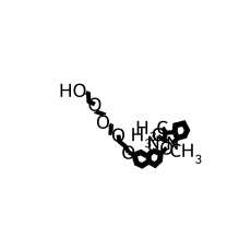 CN1c2ccccc2C(C)(C)C12C=Nc1c(ccc3ccc(OCCOCCOCCOCCO)cc13)O2